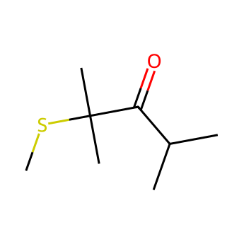 CSC(C)(C)C(=O)C(C)C